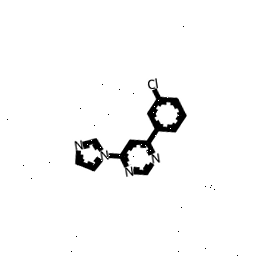 Clc1cccc(-c2cc(-n3ccnc3)ncn2)c1